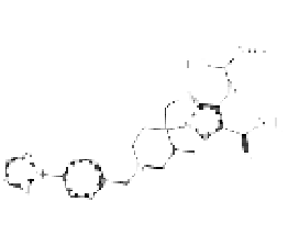 COC(O)Nc1nn(C2(CC#N)CCN(Cc3ccc(-n4nccn4)cc3)CC2F)cc1C(N)=O